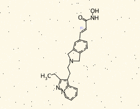 CCc1nn2ccccc2c1CCN1Cc2ccc(/C=C/C(=O)NO)cc2C1